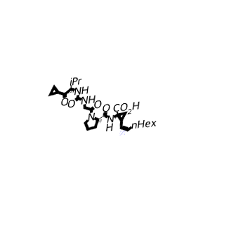 CCCCCC/C=C\C1C[C@]1(NC(=O)[C@@H]1CCCN1C(=O)CNC(=O)N[C@H](C(=O)C1CC1)C(C)C)C(=O)O